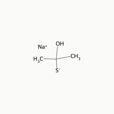 CC(C)(O)[S-].[Na+]